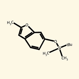 Cc1cc2ccc(O[Si](C)(C)C(C)(C)C)cc2o1